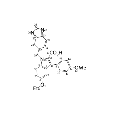 CCOc1ccc2c(c1)c(-c1ccc(OC)cc1)c(C(=O)O)n2CC1C=Cc2nsnc2C1